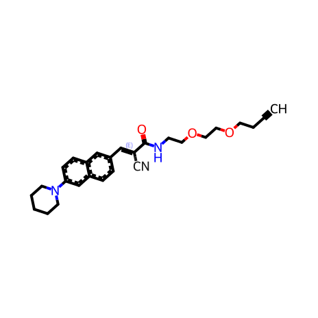 C#CCCOCCOCCNC(=O)/C(C#N)=C/c1ccc2cc(N3CCCCC3)ccc2c1